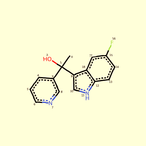 CC(O)(c1cccnc1)c1c[nH]c2ccc(F)cc12